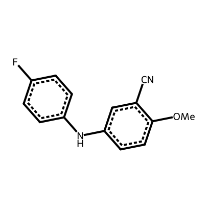 COc1ccc(Nc2ccc(F)cc2)cc1C#N